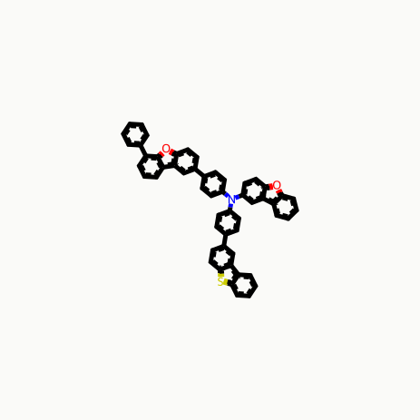 c1ccc(-c2cccc3c2oc2ccc(-c4ccc(N(c5ccc(-c6ccc7sc8ccccc8c7c6)cc5)c5ccc6oc7ccccc7c6c5)cc4)cc23)cc1